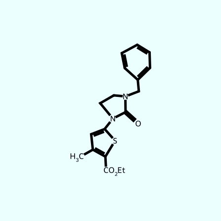 CCOC(=O)c1sc(N2CCN(Cc3ccccc3)C2=O)cc1C